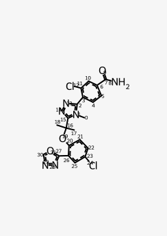 Cn1c(-c2ccc(C(N)=O)cc2Cl)nnc1C(C)(C)Oc1ccc(Cl)cc1-c1nnco1